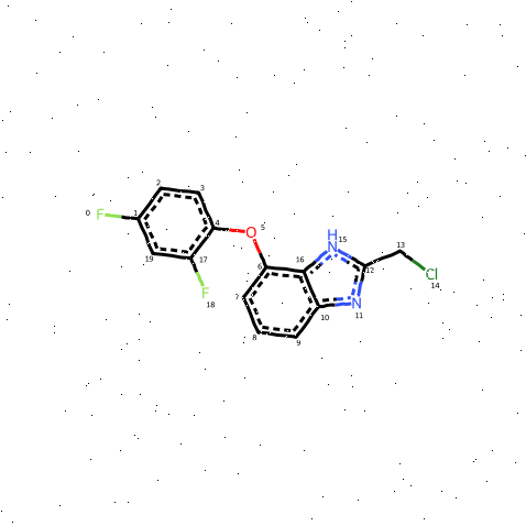 Fc1ccc(Oc2cccc3nc(CCl)[nH]c23)c(F)c1